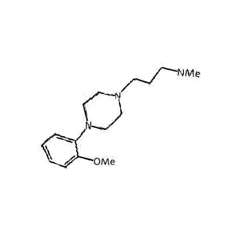 CNCCCN1CCN(c2ccccc2OC)CC1